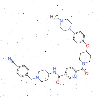 CN1CCN(c2ccc(OC3CCN(C(=O)c4ccc(C(=O)NC5CCN(Cc6ccc(C#N)cc6)CC5)cn4)CC3)cc2)CC1